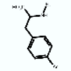 CCNC(Cc1ccc(C(C)=O)cc1)C(=O)O